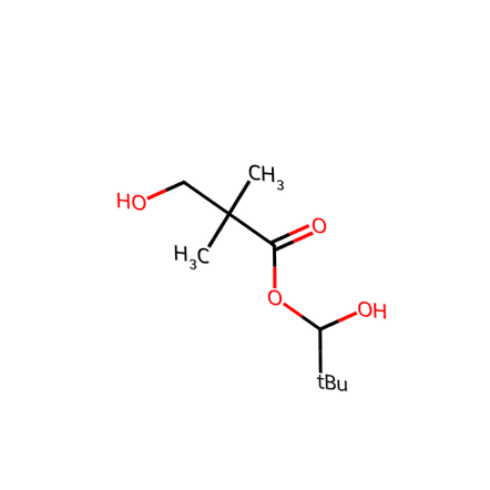 CC(C)(CO)C(=O)OC(O)C(C)(C)C